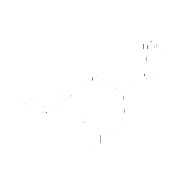 C=CC(C)(C)OC(CI)OCCCC